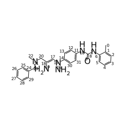 Cc1ccccc1NC(=O)Nc1ccc(N(N)/C=C(\N)CN(C)Cc2ccccc2)cc1